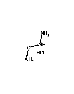 Cl.[NH2][AlH][O][AlH2]